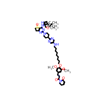 COc1cc(/C=C/C(=O)N2CCC=CC2=O)cc(OC)c1OCCCCCCCCCNc1cnc(C2CCN(c3nc4c(c(NC5(CO[Si](C)(C)C(C)(C)C)CCC5)n3)[S@+]([O-])CC4)CC2)nc1